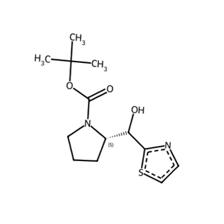 CC(C)(C)OC(=O)N1CCC[C@H]1C(O)c1nccs1